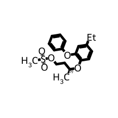 CCc1ccc(O[C@@H](C)CCOS(C)(=O)=O)c(Oc2ccccc2)c1